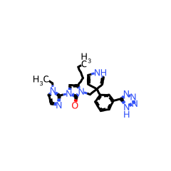 CCCc1cn(-c2nccn2CC)c(=O)n1CC1(c2cccc(-c3nnn[nH]3)c2)C=CNC=C1